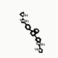 c1cc(-c2ccc(-c3ccc4[nH]c(C5CCCN5)nc4c3)c3c2C2CCC3C2)ccc1-c1cnc([C@@H]2CCCN2)[nH]1